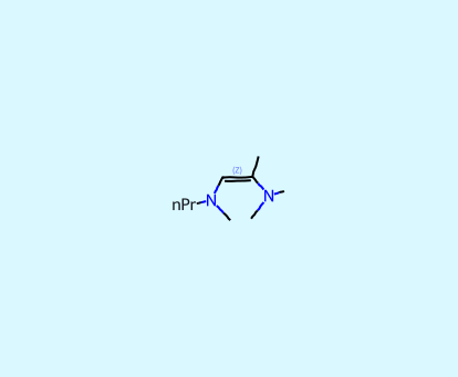 CCCN(C)/C=C(/C)N(C)C